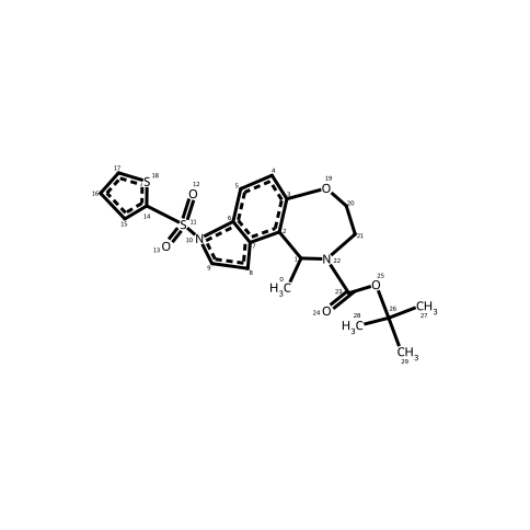 CC1c2c(ccc3c2ccn3S(=O)(=O)c2cccs2)OCCN1C(=O)OC(C)(C)C